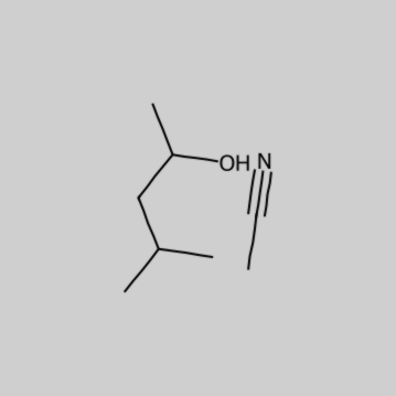 CC#N.CC(C)CC(C)O